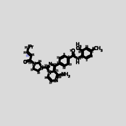 Cc1ccc(NC(=O)c2ccc(-c3nc(N4CCN(C(=O)/C=C/C(C)C)C4)n4ccnc(N)c34)cc2)c(C)c1